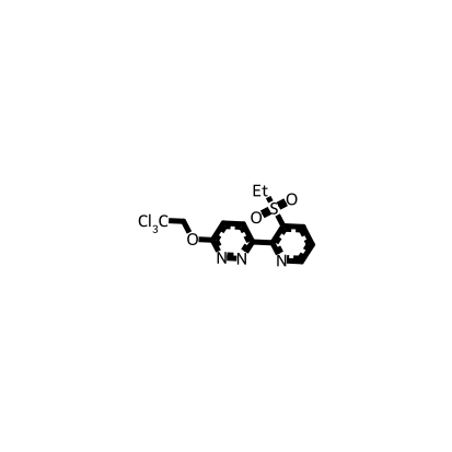 CCS(=O)(=O)c1cccnc1-c1ccc(OCC(Cl)(Cl)Cl)nn1